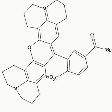 CC(C)(C)C(=O)c1ccc(C(=O)O)c(C2=c3cc4c5c(c3Oc3c2cc2c6c3CCCN6CCC2)CCC[N+]=5CCC4)c1